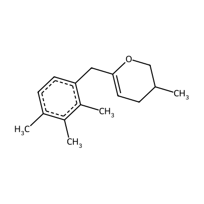 Cc1ccc(CC2=CCC(C)CO2)c(C)c1C